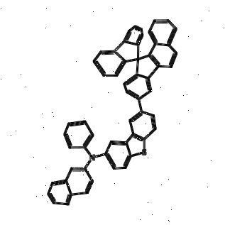 c1ccc(N(c2ccc3ccccc3c2)c2ccc3sc4ccc(-c5ccc6c(c5)-c5ccc7ccccc7c5C65c6ccccc6-c6ccccc65)cc4c3c2)cc1